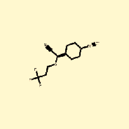 [C-]#[N+]C1CCC(=C(C#N)SCCC(F)(F)F)CC1